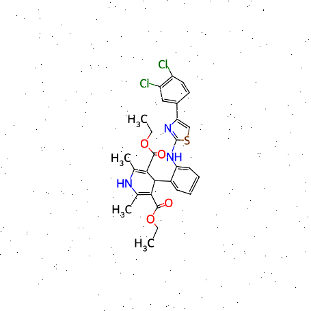 CCOC(=O)C1=C(C)NC(C)=C(C(=O)OCC)C1c1ccccc1Nc1nc(-c2ccc(Cl)c(Cl)c2)cs1